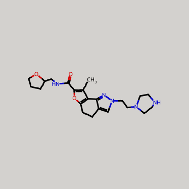 Cc1c(C(=O)NCC2CCCO2)oc2c1-c1nn(CCN3CCNCC3)cc1CC2